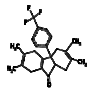 CC1=C(C)CC2=C(C1)C(=O)C1CC(C)=C(C)CC21c1ccc(C(F)(F)F)cc1